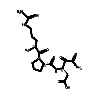 N=C(N)NCCC[C@H](N)C(=O)N1CCC[C@H]1C(=O)N[C@@H](CC(=O)O)C(=O)C(N)=O